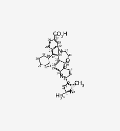 Cc1nc(C)c(-c2ccc3c4c(ccc3n2)-c2c(C3CCCCC3)c3ccc(C(=O)O)cc3n2CCO4)s1